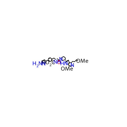 COCCCc1nc(OC)cc2[nH]c([C@@H]3CCCN(C(=O)C[C@@H](Cc4ccc(-c5ccc(N)nc5)cc4)NC(=O)O)C3)cc12